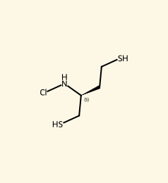 SCC[C@@H](CS)NCl